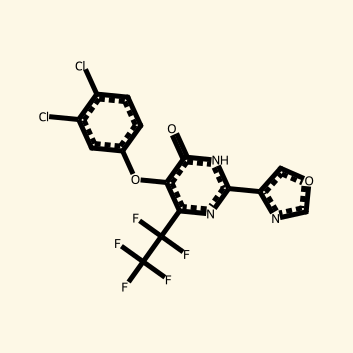 O=c1[nH]c(-c2cocn2)nc(C(F)(F)C(F)(F)F)c1Oc1ccc(Cl)c(Cl)c1